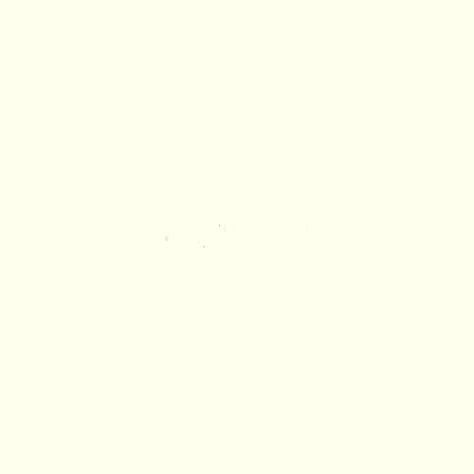 CC(C)n1ccc(C(F)(F)C(F)(F)F)n1